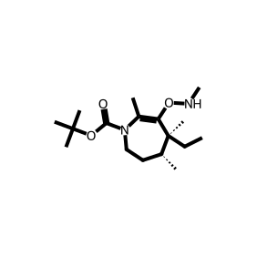 CC[C@]1(C)C(ONC)=C(C)N(C(=O)OC(C)(C)C)CC[C@H]1C